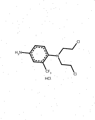 Cl.Nc1ccc(N(CCCl)CCCl)c(C(F)(F)F)c1